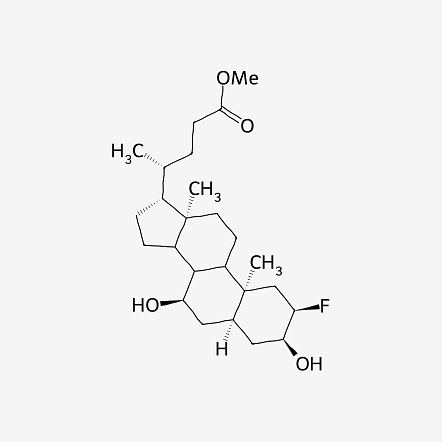 COC(=O)CC[C@@H](C)[C@H]1CCC2C3C(CC[C@@]21C)[C@@]1(C)C[C@@H](F)[C@@H](O)C[C@H]1C[C@H]3O